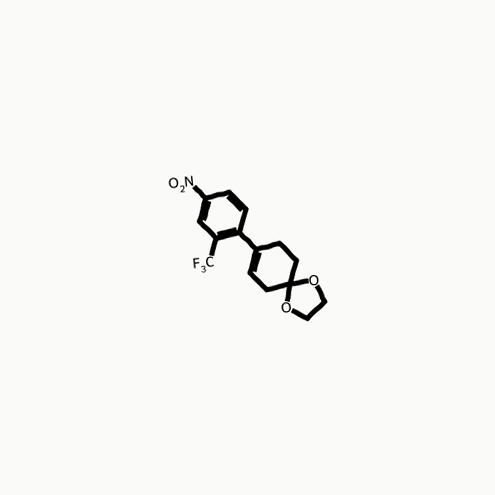 O=[N+]([O-])c1ccc(C2=CCC3(CC2)OCCO3)c(C(F)(F)F)c1